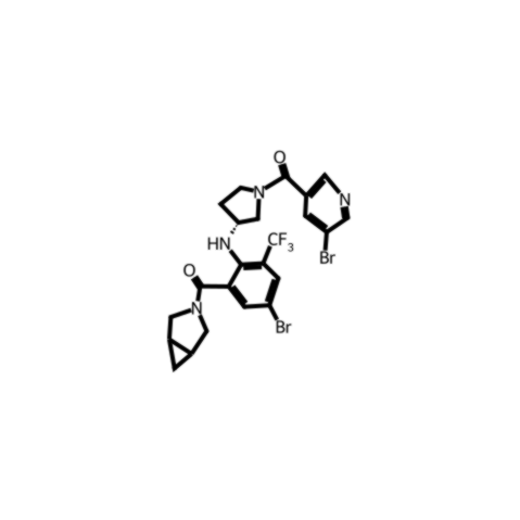 O=C(c1cncc(Br)c1)N1CC[C@@H](Nc2c(C(=O)N3CC4CC4C3)cc(Br)cc2C(F)(F)F)C1